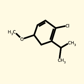 COC1C=CC(Cl)=C(C(C)C)C1